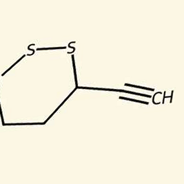 C#CC1CCOSS1